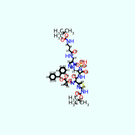 CC(C)(C)OC(=O)NCCCC(=O)NCc1cnn(C[C@@H]2[C@H](NC(=O)/C(=N\OC3(C(=O)OC(c4ccccc4)c4ccccc4)CC3)c3csc(NC(=O)OC(C)(C)C)n3)C(=O)N2S(=O)(=O)O)n1